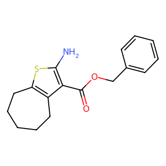 Nc1sc2c(c1C(=O)OCc1ccccc1)CCCCC2